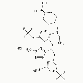 CCN(C[C@H]1CC[C@H](C(=O)O)CC1)c1ccc(OC(F)(F)F)cc1CN(Cc1cc(C#N)cc(C(F)(F)F)c1)c1nnn(C)n1.Cl